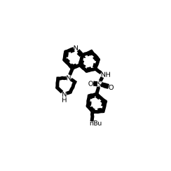 CCCCc1ccc(S(=O)(=O)Nc2ccc3nccc(N4CCNCC4)c3c2)cc1